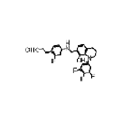 Cc1c(CNc2ccc(CCC=O)c(F)c2)ccc2c1N(c1cc(F)c(F)c(F)c1)CCC2